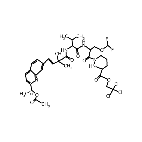 CC(=O)O[C@H](C)c1ccc2ccc(C=CC(C)(C)C(=O)NC(C(=O)NC(COC(F)F)C(=O)N3CCCC(C(=O)OCC(Cl)(Cl)Cl)N3)C(C)C)cc2n1